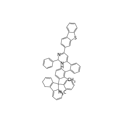 Cc1ccccc1C1(c2cccc(-c3ccccc3C3=CC(c4ccc5c(c4)sc4ccccc45)=NC(c4ccccc4)N3)c2C)C2=C(CCC=C2)c2ccccc21